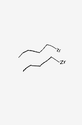 CCC[CH2][Zr].CCC[CH2][Zr]